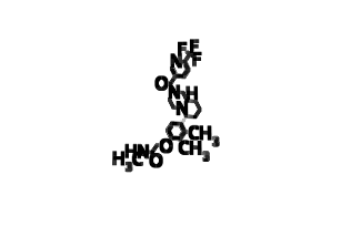 CNC(=O)COc1ccc([C@H]2CCC[C@H]3CN(C(=O)c4ccc(C(F)(F)F)nc4)CCN32)c(C)c1C